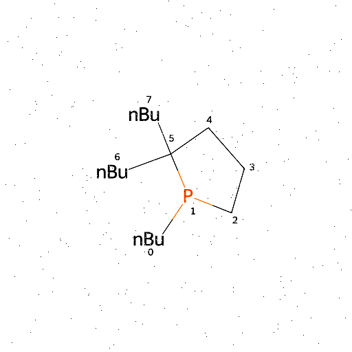 CCCCP1CCCC1(CCCC)CCCC